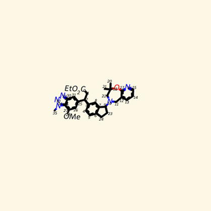 CCOC(=O)CC(c1ccc2c(c1)C(N1Cc3cccnc3OC(C)(C)C1)CC2)c1cc(OC)c2c(c1)nnn2C